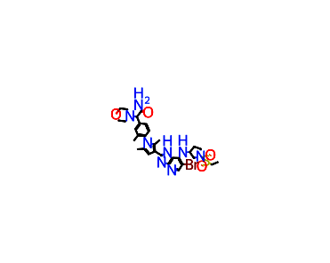 CCS(=O)(=O)N1CC[C@H](Nc2c(Br)cnc3nc(-c4cc(C)n(-c5ccc(C(C(N)=O)N6CCOCC6)cc5C)c4C)[nH]c23)C1